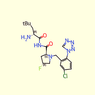 CC(C)(C)C[C@@H](N)C(=O)NC(=O)[C@@H]1C[C@@H](F)CN1Cc1cc(Cl)ccc1-n1cnnn1